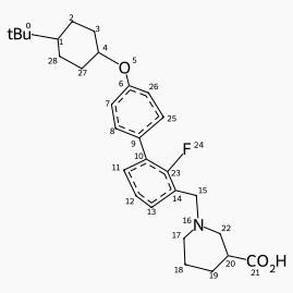 CC(C)(C)C1CCC(Oc2ccc(-c3cccc(CN4CCCC(C(=O)O)C4)c3F)cc2)CC1